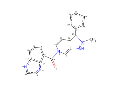 CN1NC2=CN(C(=O)c3cccc4nccnc34)C=CC2C1c1ccccc1